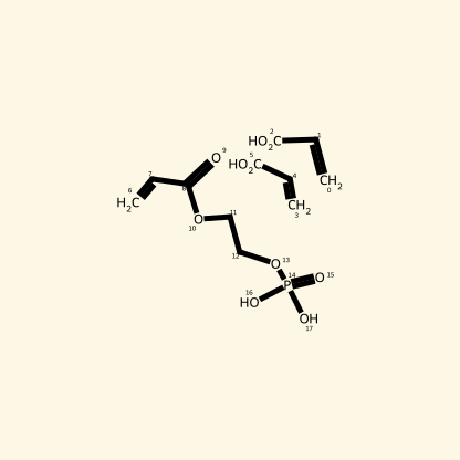 C=CC(=O)O.C=CC(=O)O.C=CC(=O)OCCOP(=O)(O)O